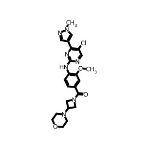 COc1cc(C(=O)N2CC(N3CCOCC3)C2)ccc1Nc1ncc(Cl)c(-c2cnn(C)c2)n1